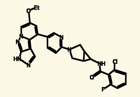 CCOc1cc(-c2ccc(N3CC4C(C3)C4NC(=O)c3c(F)cccc3Cl)nc2)c2c3cn[nH]c3nn2c1